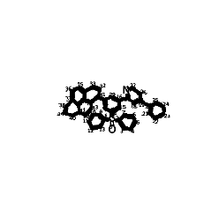 O=P(c1ccccc1)(c1ccccc1)c1cc(-c2cc(-c3ccccc3)ccn2)cc(-c2ccc3ccc4cccc5ccc2c3c45)c1